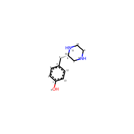 Oc1ccc(C[C@H]2CNCCN2)cc1